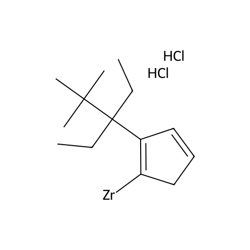 CCC(CC)(C1=[C]([Zr])CC=C1)C(C)(C)C.Cl.Cl